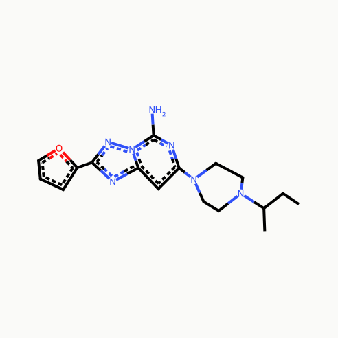 CCC(C)N1CCN(c2cc3nc(-c4ccco4)nn3c(N)n2)CC1